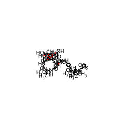 CC[C@H](C)[C@@H]1NC(=O)CNC(=O)[C@H]2Cc3c([nH]c4ccccc34)SC[C@@H](NC(=O)CNC1=O)C(=O)N[C@@H](CC(=O)NOCc1ccc(NC(=O)[C@H](C)NC(=O)C(NC(=O)CCN3C(=O)C=CC3=O)C(C)C)cc1)C(=O)N1C[C@H](O)C[C@H]1C(=O)N[C@@H]([C@@H](C)[C@@H](O)CO)C(=O)N2